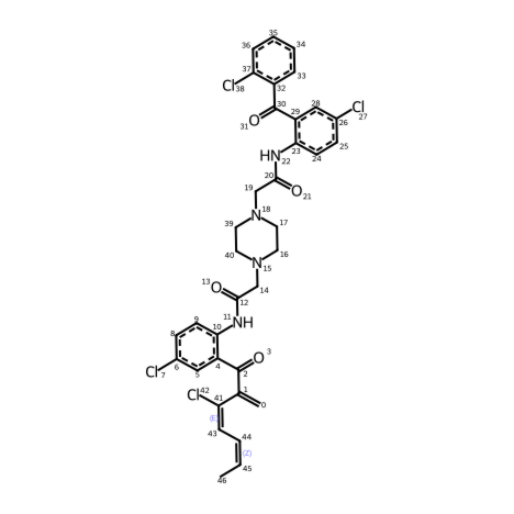 C=C(C(=O)c1cc(Cl)ccc1NC(=O)CN1CCN(CC(=O)Nc2ccc(Cl)cc2C(=O)c2ccccc2Cl)CC1)/C(Cl)=C\C=C/C